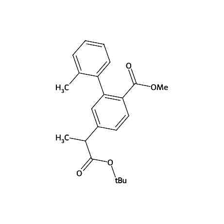 COC(=O)c1ccc(C(C)C(=O)OC(C)(C)C)cc1-c1ccccc1C